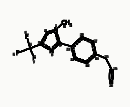 Cn1cc(C(F)(F)F)nc1-c1ccc(CC#N)cc1